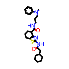 CN(CCCNC(=O)C1CCCc2sc(NC(=O)CC3CCCCC3)nc21)c1ccccc1